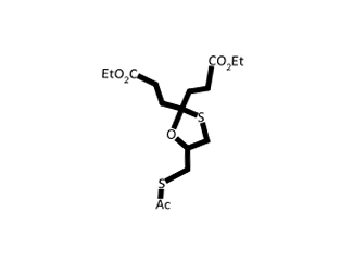 CCOC(=O)CCC1(CCC(=O)OCC)OC(CSC(C)=O)CS1